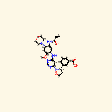 C=CC(=O)Nc1cc(Nc2cc(N3OCC[C@@H]3c3cccc(C(=O)O)c3)ncn2)c(OC)cc1N1CCOCC1